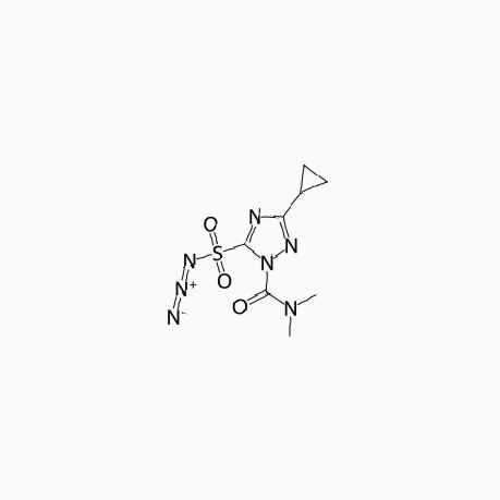 CN(C)C(=O)n1nc(C2CC2)nc1S(=O)(=O)N=[N+]=[N-]